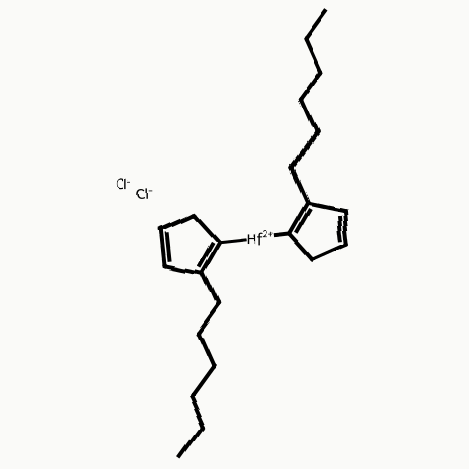 CCCCCCC1=[C]([Hf+2][C]2=C(CCCCCC)C=CC2)CC=C1.[Cl-].[Cl-]